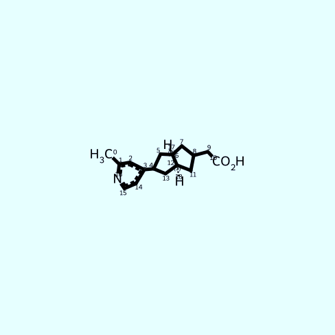 Cc1cc(C2C[C@H]3CC(CC(=O)O)C[C@H]3C2)ccn1